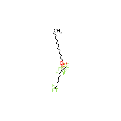 CCCCCCCCCCCCCOS(=O)(=O)C(F)(F)C(F)(F)C(F)(F)C(F)CCCCCC(F)(F)F